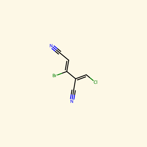 N#CC=C(Br)C(C#N)=CCl